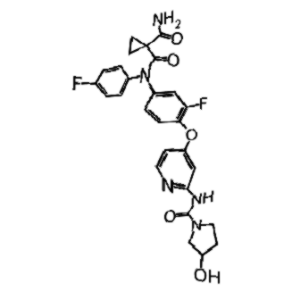 NC(=O)C1(C(=O)N(c2ccc(F)cc2)c2ccc(Oc3ccnc(NC(=O)N4CCC(O)C4)c3)c(F)c2)CC1